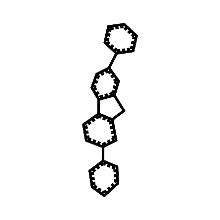 [CH]1c2cc(-c3ccccc3)ccc2-c2ccc(-c3ccccc3)cc21